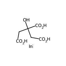 O=C(O)CC(O)(CC(=O)O)C(=O)O.[In]